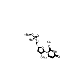 CCCCOP(=O)(O)OC[C@H]1C[C@@H](OC)[C@H](n2ccc(=O)[nH]c2=O)O1.[Ca]